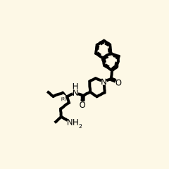 CCC[C@H](CCC(C)N)NC(=O)C1CCN(C(=O)c2ccc3ccccc3c2)CC1